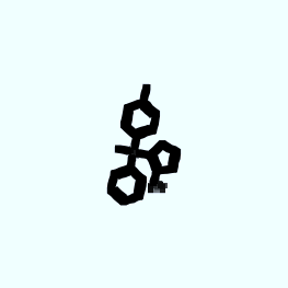 CCCC1=C([Si](C)(c2ccccc2)c2ccc(C)cc2)CC=C1